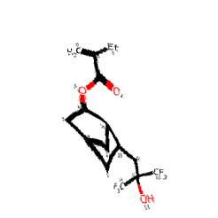 C=C(CC)C(=O)OC1CC2CC(CC(O)(C(F)(F)F)C(F)(F)F)C1C2